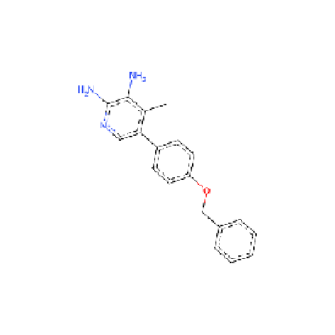 Cc1c(-c2ccc(OCc3ccccc3)cc2)cnc(N)c1N